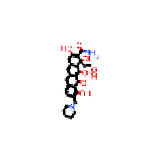 NC(=O)C1=C(O)CC2CC3Cc4ccc(CN5CCCCC5)c(O)c4C(=O)C3=C(O)C2[C@]1(O)CCO